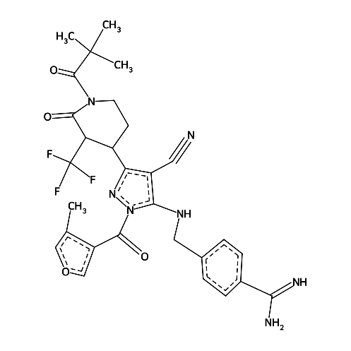 Cc1cocc1C(=O)n1nc(C2CCN(C(=O)C(C)(C)C)C(=O)C2C(F)(F)F)c(C#N)c1NCc1ccc(C(=N)N)cc1